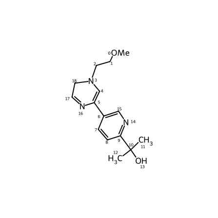 COCCN1C=C(c2ccc(C(C)(C)O)nc2)N=CC1